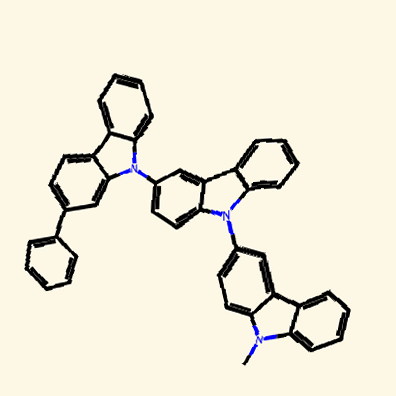 Cn1c2ccccc2c2cc(-n3c4ccccc4c4cc(-n5c6ccccc6c6ccc(-c7ccccc7)cc65)ccc43)ccc21